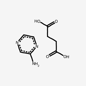 Nc1cnccn1.O=C(O)CCC(=O)O